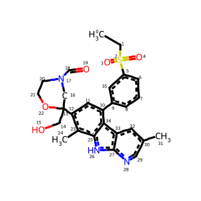 CCS(=O)(=O)c1cccc(-c2cc(C3(CO)CN(C=O)CCO3)c(C)c3[nH]c4ncc(C)cc4c23)c1